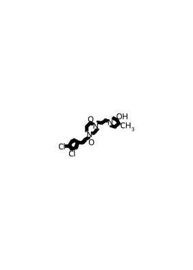 C[C@@H]1CCN(CCCN2CCN(C(=O)/C=C/c3ccc(Cl)c(Cl)c3)CCC2=O)C[C@@H]1O